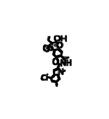 CCC(C(=O)O)[S+]([O-])c1ccc([C@@H](C)NC(=O)c2cc3c(Cl)cc(C)cc3n2C)cc1